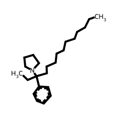 CCCCCCCCCCCC(CC)(c1ccccc1)N1CCCC1